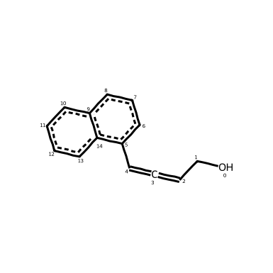 OCC=C=Cc1cccc2ccccc12